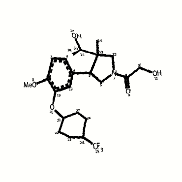 COc1ccc(C2CN(C(=O)CO)CC2(C)[C@@H](C)O)cc1OC1CCC(C(F)(F)F)CC1